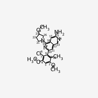 COc1cc(OC)c(Cl)c(-c2cc3cnc(N)cc3c(N3CCC(OC)C3)n2)c1C